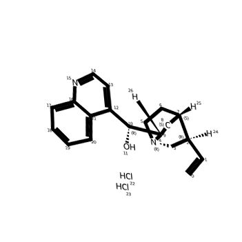 C=C[C@H]1C[N@]2CC[C@H]1C[C@H]2[C@H](O)c1ccnc2ccccc12.Cl.Cl